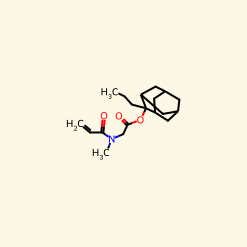 C=CC(=O)N(C)CC(=O)OC1(CCC)C2CC3CC(C2)CC1C3